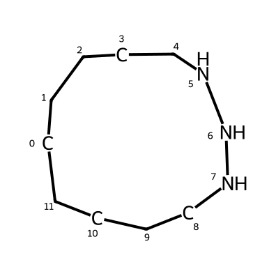 C1CCCCNNNCCCC1